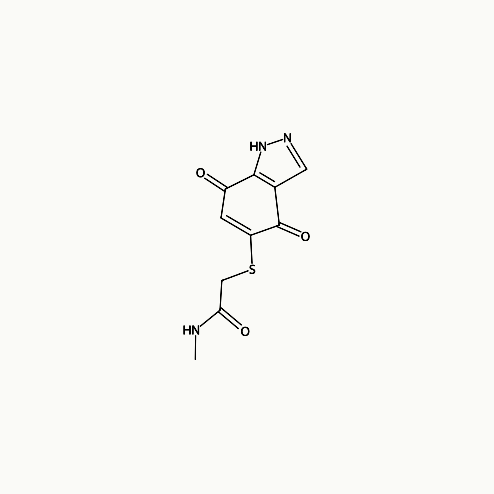 CNC(=O)CSC1=CC(=O)c2[nH]ncc2C1=O